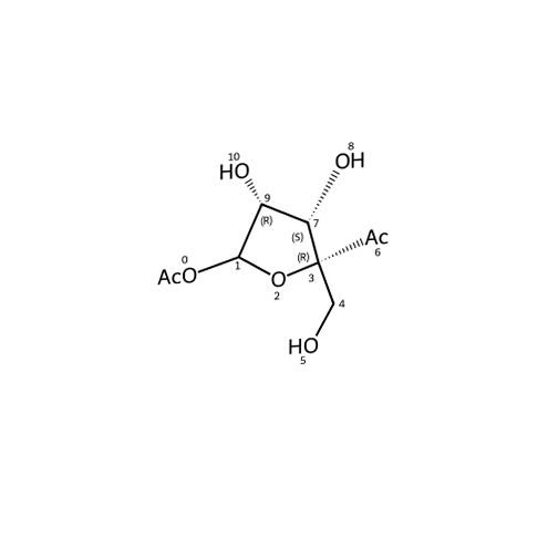 CC(=O)OC1O[C@@](CO)(C(C)=O)[C@@H](O)[C@H]1O